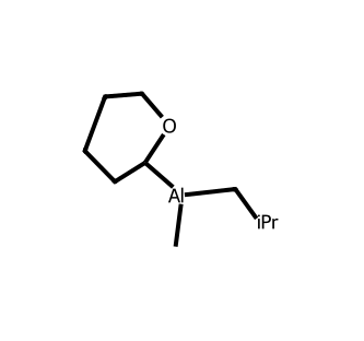 CC(C)[CH2][Al]([CH3])[CH]1CCCCO1